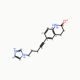 O=C1CCc2cc(C#CCCCn3ccnc3)ccc2N1